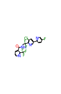 O=C(NCC(F)(F)c1ncc(-c2ccc(F)cn2)cc1Cl)c1cccnc1C(F)(F)F